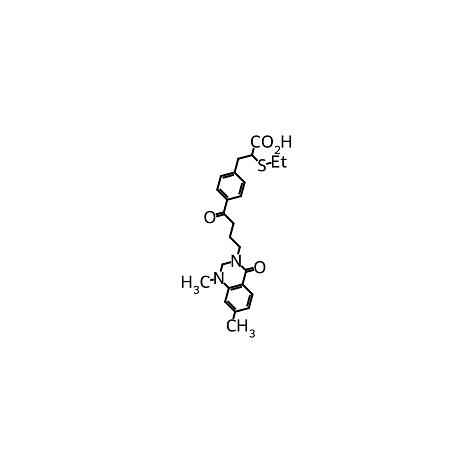 CCSC(Cc1ccc(C(=O)CCCN2CN(C)c3cc(C)ccc3C2=O)cc1)C(=O)O